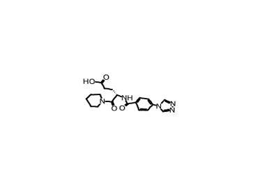 O=C(O)CC[C@H](NC(=O)c1ccc(-n2cnnc2)cc1)C(=O)N1CCCCC1